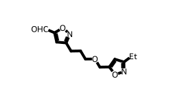 CCc1cc(COCCCc2cc(C=O)on2)on1